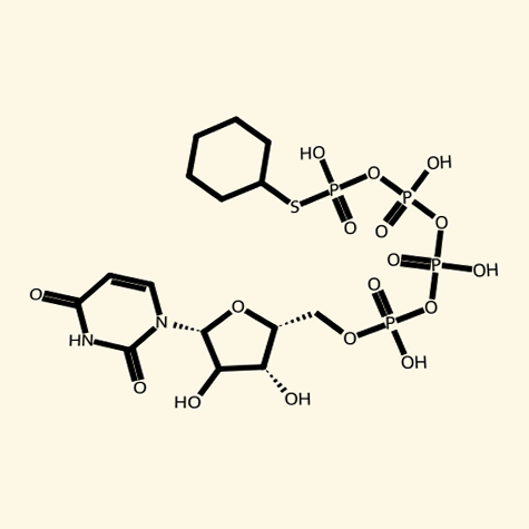 O=c1ccn([C@@H]2O[C@H](COP(=O)(O)OP(=O)(O)OP(=O)(O)OP(=O)(O)SC3CCCCC3)[C@H](O)C2O)c(=O)[nH]1